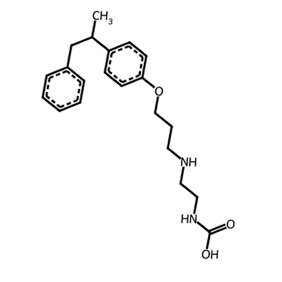 CC(Cc1ccccc1)c1ccc(OCCCNCCNC(=O)O)cc1